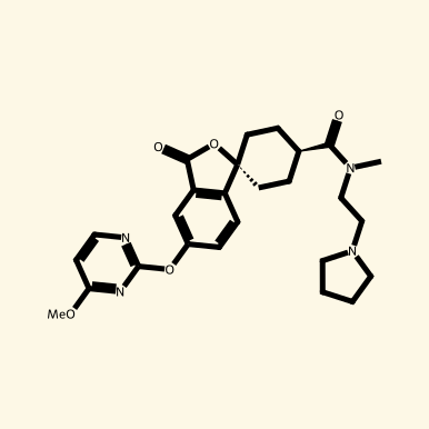 COc1ccnc(Oc2ccc3c(c2)C(=O)O[C@]32CC[C@H](C(=O)N(C)CCN3CCCC3)CC2)n1